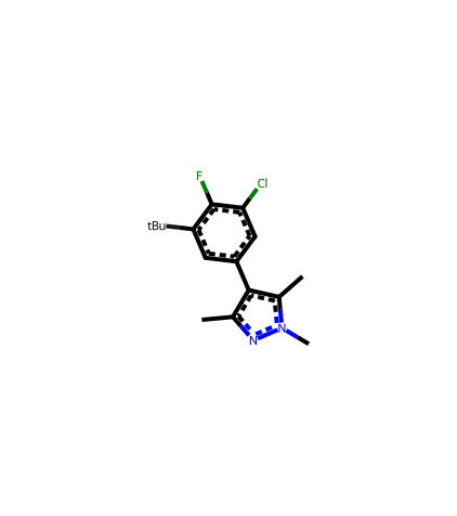 Cc1nn(C)c(C)c1-c1cc(Cl)c(F)c(C(C)(C)C)c1